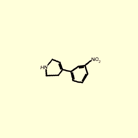 O=[N+]([O-])c1cccc(C2=CCNCC2)c1